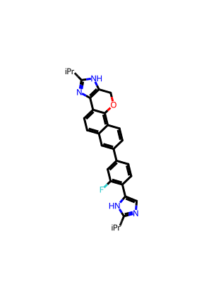 CC(C)c1ncc(-c2ccc(-c3ccc4c5c(ccc4c3)-c3nc(C(C)C)[nH]c3CO5)cc2F)[nH]1